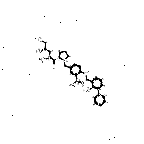 Cc1c(COc2ccc(CN3CCC[C@H]3C(=O)N(C)CC(O)CO)cc2[N+](=O)[O-])cccc1-c1ccccc1